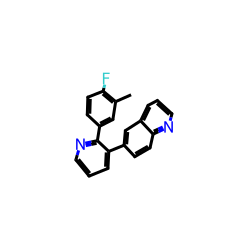 Cc1cc(-c2ncccc2-c2ccc3ncccc3c2)ccc1F